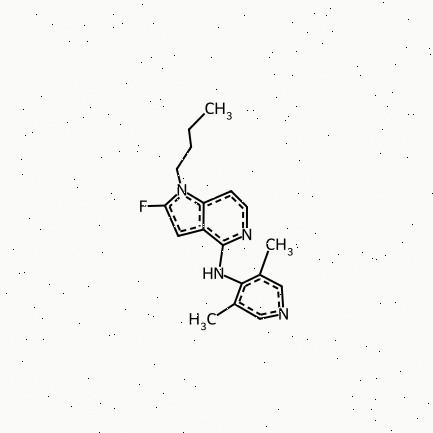 CCCCn1c(F)cc2c(Nc3c(C)cncc3C)nccc21